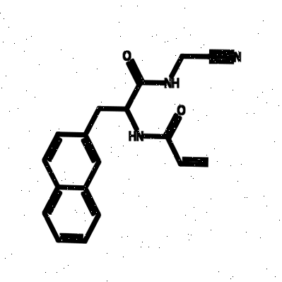 C=CC(=O)NC(Cc1ccc2ccccc2c1)C(=O)NCC#N